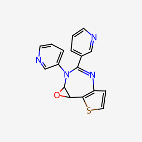 c1cncc(C2=Nc3ccsc3C3OC3N2c2cccnc2)c1